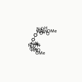 COC(=O)N[C@@H](Cc1cncn1C)C(=O)N1CCC[C@H]1c1ncc(-c2ccc(-c3ccc(-c4cnc([C@@H]5CCCN5C(=O)[C@@H](C)NC(=O)OC)[nH]4)cc3)cc2)[nH]1